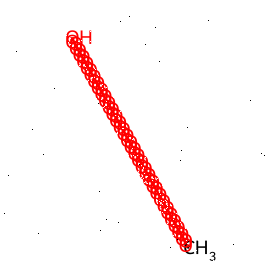 COOOOOOOOOOOOOOOOOOOOOOOOOOOOOOOOOOOOOOOOOOOOOOOOOOOOOOOOOOOOOOOO